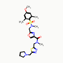 COc1cc(C)c(S(=O)(=O)N(C)Cc2nc(C(=O)N(C)Cc3nnc(CN4CCCC4)s3)co2)c(C)c1